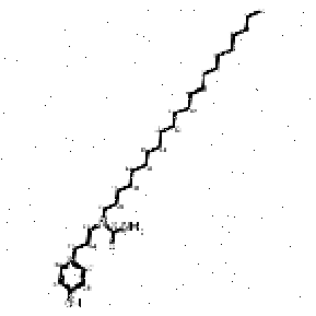 CCCCCCCCCCCCCCCCCCCCCCN(CCCc1ccc(O)cc1)C(N)=O